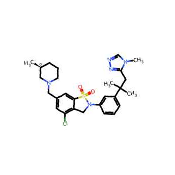 C[C@H]1CCCN(Cc2cc(Cl)c3c(c2)S(=O)(=O)N(c2cccc(C(C)(C)Cc4nncn4C)c2)C3)C1